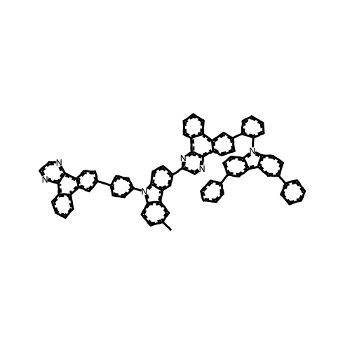 Cc1ccc2c(c1)c1cc(-c3cnc4c5ccc(-c6ccccc6-n6c7ccc(-c8ccccc8)cc7c7cc(-c8ccccc8)ccc76)cc5c5ccccc5c4n3)ccc1n2-c1ccc(-c2ccc3c(c2)c2ccccc2c2nccnc32)cc1